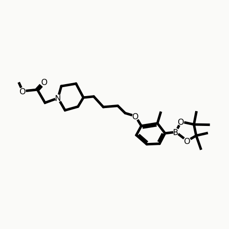 COC(=O)CN1CCC(CCCCOc2cccc(B3OC(C)(C)C(C)(C)O3)c2C)CC1